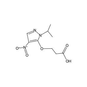 CC(C)n1ncc([N+](=O)[O-])c1OCCC(=O)O